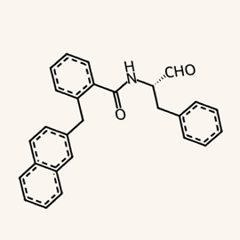 O=C[C@H](Cc1ccccc1)NC(=O)c1ccccc1Cc1ccc2ccccc2c1